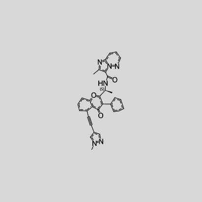 Cc1nc2cccnn2c1C(=O)N[C@@H](C)c1oc2cccc(C#Cc3cnn(C)c3)c2c(=O)c1-c1ccccc1